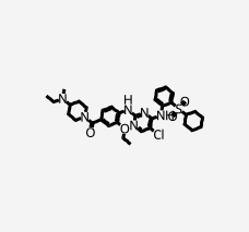 CCOc1cc(C(=O)N2CCC(N(C)CC)CC2)ccc1Nc1ncc(Cl)c(Nc2ccccc2S(=O)(=O)C2CCCCC2)n1